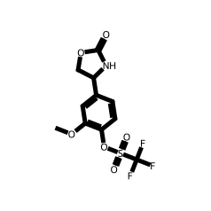 COc1cc(C2COC(=O)N2)ccc1OS(=O)(=O)C(F)(F)F